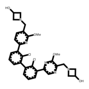 COc1nc(-c2cccc(-c3cccc(-c4cnc(CN5CC(O)C5)c(OC)n4)c3Cl)c2Cl)ccc1CN1CC(O)C1